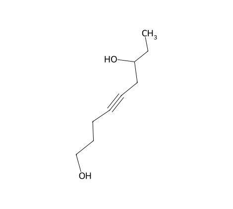 CCC(O)CC#CCCCO